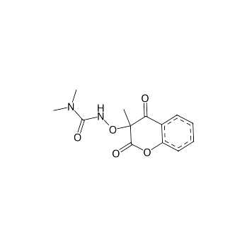 CN(C)C(=O)NOC1(C)C(=O)Oc2ccccc2C1=O